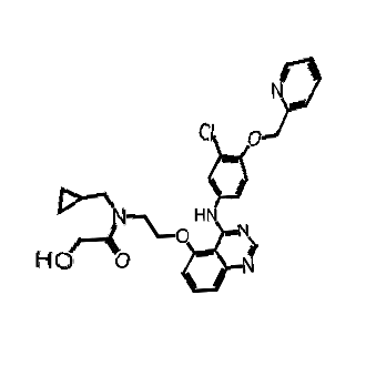 O=C(CO)N(CCOc1cccc2ncnc(Nc3ccc(OCc4ccccn4)c(Cl)c3)c12)CC1CC1